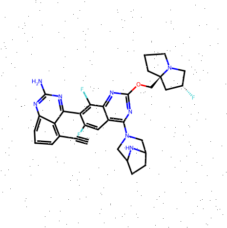 C#Cc1cccc2nc(N)nc(-c3c(F)cc4c(N5CC6CCC(C5)N6)nc(OC[C@@]56CCCN5C[C@H](F)C6)nc4c3F)c12